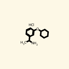 CC(N)c1cccc(OC2CCCCC2)c1.Cl